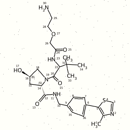 Cc1ncsc1-c1ccc(CNC(=O)[C@@H]2C[C@@H](O)CN2C(=O)C(NC(=O)COCCN)C(C)(C)C)cc1